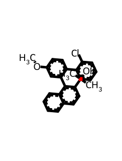 COc1ccc(-c2ccccc2Cl)c(-c2c(C(C)(C)O)ccc3ccccc23)c1